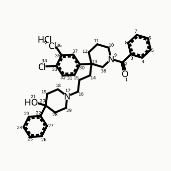 Cl.O=C(c1ccccc1)N1CCCC(CCCN2CCC(O)(c3ccccc3)CC2)(c2ccc(Cl)c(Cl)c2)C1